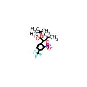 CC(C)C(=O)C(C(=O)OC(C)(C)C)c1ccc(C(F)(F)F)cc1[N+](=O)[O-]